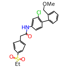 CCS(=O)(=O)c1ccc(CC(=O)Nc2ccc(-c3ccccc3COC)c(Cl)c2)cc1